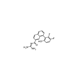 NC(N)=NC(=O)c1ccc2cccc(-c3c(O)ccc(F)c3F)c2c1